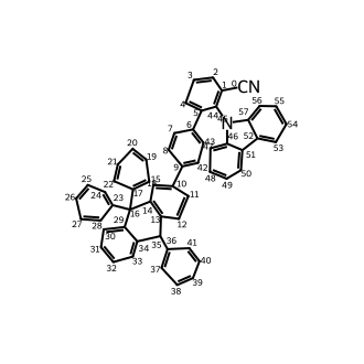 N#Cc1cccc(-c2ccc(-c3ccc4c(c3)C(c3ccccc3)(c3ccccc3)c3ccccc3C4c3ccccc3)cc2)c1-n1c2ccccc2c2ccccc21